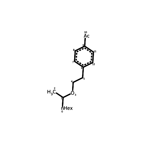 CCCCCCC(C)OCCc1ccc(C(C)=O)cc1